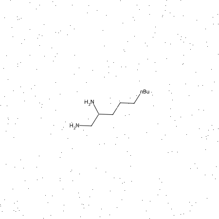 CCCCCCCC(N)CN